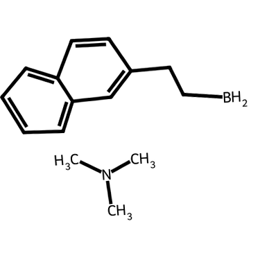 BCCc1ccc2ccccc2c1.CN(C)C